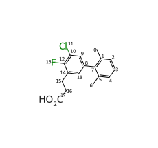 Cc1cccc(C)c1-c1cc(Cl)c(F)c(CCC(=O)O)c1